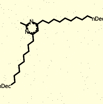 CCCCCCCCCCCCCCCCCCCc1cc(CCCCCCCCCCCCCCCCCCC)nc(C)n1